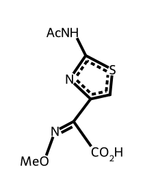 CO/N=C(\C(=O)O)c1csc(NC(C)=O)n1